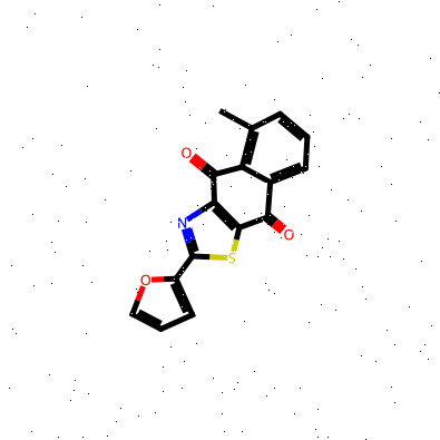 Cc1cccc2c1C(=O)c1nc(-c3ccco3)sc1C2=O